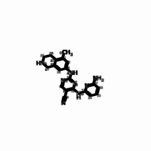 Cc1cc(Nc2ncc(C#N)c(Nc3cccc(N)n3)n2)cc2c1CCNC2